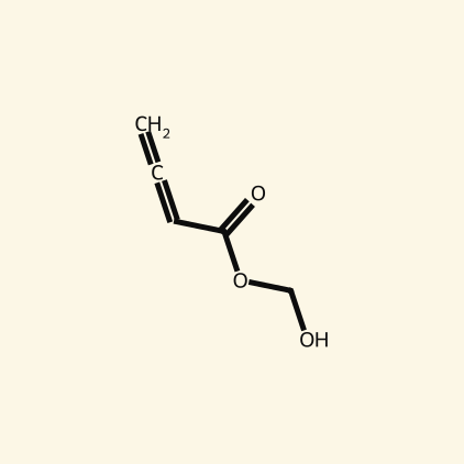 C=C=CC(=O)OCO